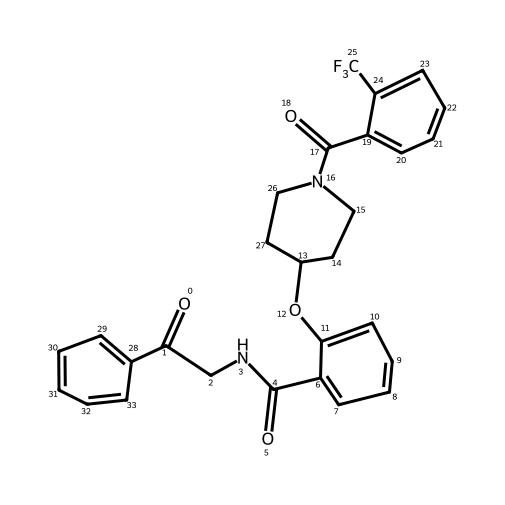 O=C(CNC(=O)c1ccccc1OC1CCN(C(=O)c2ccccc2C(F)(F)F)CC1)c1ccccc1